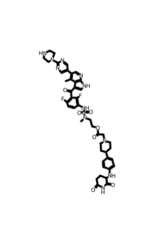 Cc1c(-c2cnc(N3CCNCC3)nc2)cnc2[nH]cc(C(=O)c3c(F)ccc(NS(=O)(=O)N(C)CCOC(=O)CN4CCC(c5ccc(NC6CCC(=O)NC6=O)cc5)CC4)c3F)c12